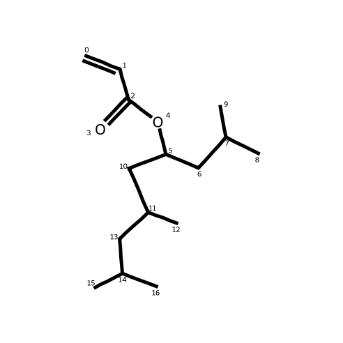 C=CC(=O)OC(CC(C)C)CC(C)CC(C)C